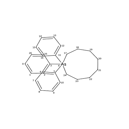 c1ccc([As]2(c3ccccc3)(c3ccccc3)CCCCCCCC2)cc1